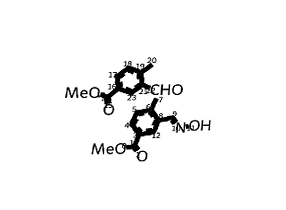 COC(=O)c1ccc(C)c(C=NO)c1.COC(=O)c1ccc(C)c(C=O)c1